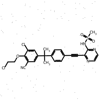 CC(C)(c1ccc(C#Cc2nccnc2NS(C)(=O)=O)cc1)c1cc(Cl)c(OCCCl)c(C#N)c1